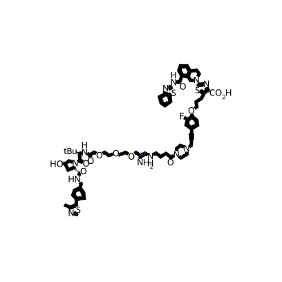 Cc1ncsc1-c1ccc(CNC(=O)[C@@H]2C[C@@H](O)CN2C(=O)[C@@H](NC(=O)COCCOCCOC/C(N)=C/NCCCC(=O)N2CCN(CC#Cc3ccc(OCCCc4sc(N5CCc6cccc(C(=O)Nc7nc8ccccc8s7)c6C5)nc4C(=O)O)c(F)c3)CC2)C(C)(C)C)cc1